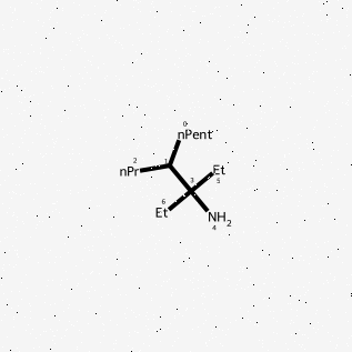 CCCCCC(CCC)C(N)(CC)CC